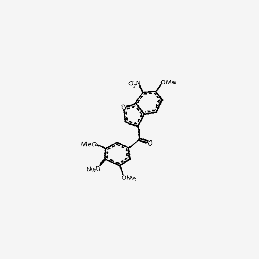 COc1cc(C(=O)c2coc3c([N+](=O)[O-])c(OC)ccc23)cc(OC)c1OC